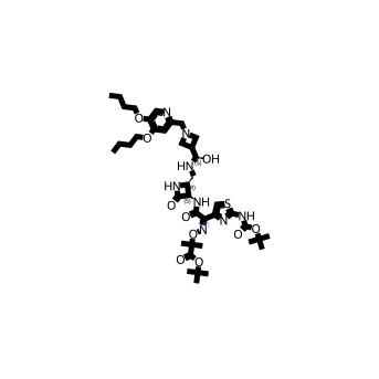 CCCCOc1cnc(CN2CC([C@H](O)NC[C@H]3NC(=O)[C@H]3NC(=O)/C(=N\OC(C)(C)C(=O)OC(C)(C)C)c3csc(NC(=O)OC(C)(C)C)n3)C2)cc1OCCCC